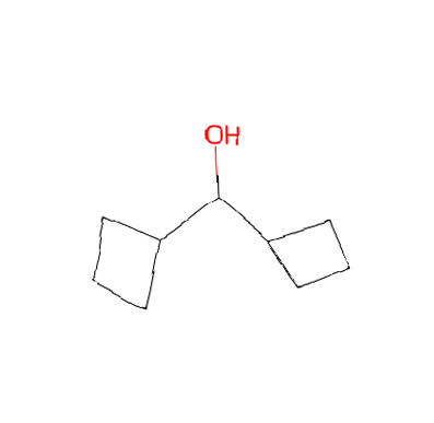 OC(C1CCC1)C1CCC1